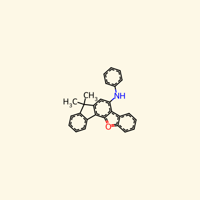 CC1(C)c2ccccc2-c2c1cc(Nc1ccccc1)c1c2oc2ccccc21